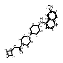 N#Cc1ccc2ncnc(NC3CCC(N4CCN(C(=O)CC5COC5)CC4)CC3)c2c1